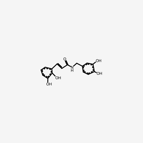 O=C(/C=C/c1cccc(O)c1O)NCc1ccc(O)c(O)c1